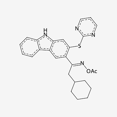 CC(=O)ON=C(CC1CCCCC1)c1cc2c(cc1Sc1ncccn1)[nH]c1ccccc12